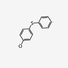 [O]c1ccc(Sc2cc[c]cc2)cc1